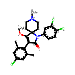 CCOC(=O)OC1=C(c2c(C)cc(Cl)cc2C)C(=O)N(c2ccc(Cl)c(Cl)c2)C12CCN(OC)CC2